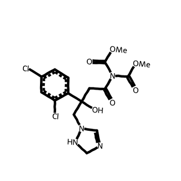 COC(=O)N(C(=O)CC(O)(CN1C=NCN1)c1ccc(Cl)cc1Cl)C(=O)OC